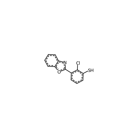 Sc1cccc(-c2nc3ccccc3o2)c1Cl